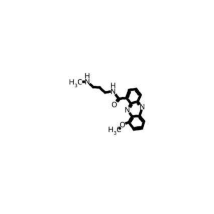 CNCCCNC(=O)c1cccc2nc3cccc(OC)c3nc12